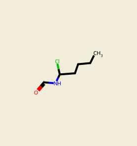 CCCCC(Cl)N[C]=O